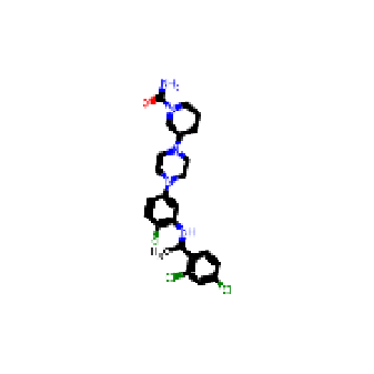 CC(Nc1cc(N2CCN(C3CCCN(C(N)=O)C3)CC2)ccc1Cl)c1ccc(Cl)cc1Cl